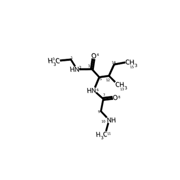 CCNC(=O)C(NC(=O)CNC)C(C)CC